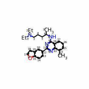 CCN(CC)CCCC(C)Nc1nc(-c2ccc3occc3c2)nc2c(C)cccc12